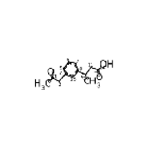 CC(=O)Cc1cccc(C(C)CC(=O)O)c1